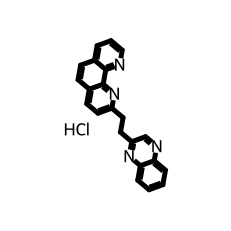 Cl.c1cnc2c(c1)ccc1ccc(CCc3cnc4ccccc4n3)nc12